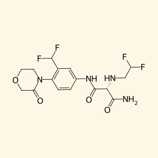 NC(=O)[C@@H](NCC(F)F)C(=O)Nc1ccc(N2CCOCC2=O)c(C(F)F)c1